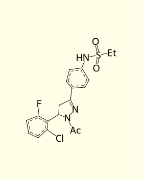 CCS(=O)(=O)Nc1ccc(C2=NN(C(C)=O)C(c3c(F)cccc3Cl)C2)cc1